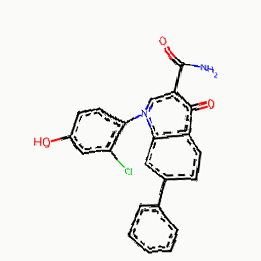 NC(=O)c1cn(-c2ccc(O)cc2Cl)c2cc(-c3ccccc3)ccc2c1=O